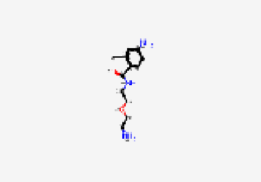 Cc1cc(N)ccc1C(=O)NCCOCCN